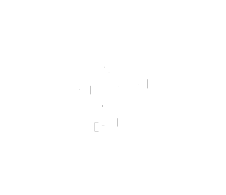 [2H]C([2H])(CC)C(=O)Cl